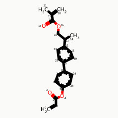 C=CC(=O)Oc1ccc(-c2ccc(C(C)COC(=O)C(=C)C)cc2)cc1